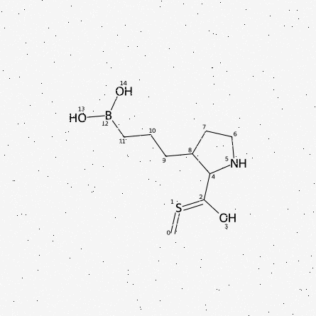 C=S=C(O)C1NCCC1CCCB(O)O